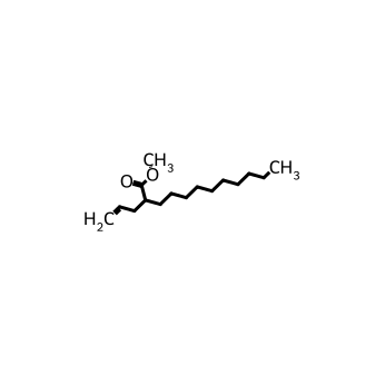 C=CCC(CCCCCCCCCC)C(=O)OC